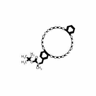 CN(Cc1ccc2c(c1)OCCOCCOCCOc1ccccc1OCCOCCOCCO2)C(=O)OC(C)(C)C